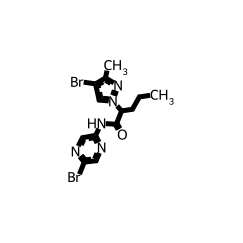 CCCC(C(=O)Nc1cnc(Br)cn1)n1cc(Br)c(C)n1